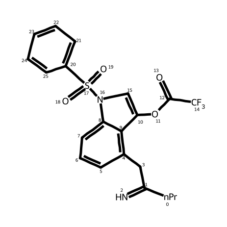 CCCC(=N)Cc1cccc2c1c(OC(=O)C(F)(F)F)cn2S(=O)(=O)c1ccccc1